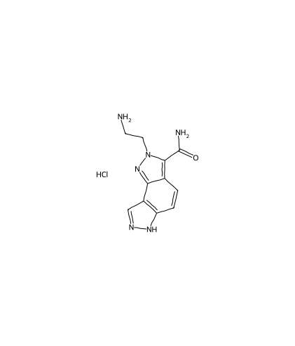 Cl.NCCn1nc2c(ccc3[nH]ncc32)c1C(N)=O